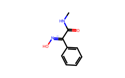 CNC(=O)/C(=N/O)c1ccccc1